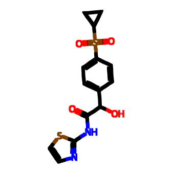 O=C(Nc1nccs1)C(O)c1ccc(S(=O)(=O)C2CC2)cc1